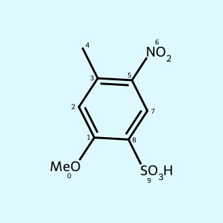 COc1cc(C)c([N+](=O)[O-])cc1S(=O)(=O)O